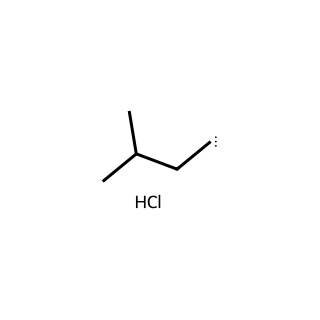 Cl.[C]CC(C)C